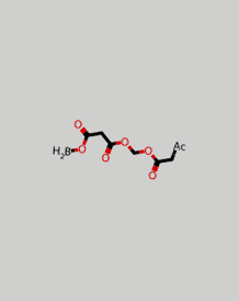 BOC(=O)CC(=O)OCOC(=O)CC(C)=O